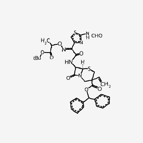 C=CC1(C(=O)OC(c2ccccc2)c2ccccc2)CS[C@@H]2C(NC(=O)C(=NOC(C)C(=O)OC(C)(C)C)c3csc(NC=O)n3)C(=O)N2C1